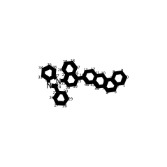 C1=Cc2ccc3c(c2CC1)CC1CCC(C2=c4ccccc4=C(n4c(-c5ccccc5)nc5ccccc54)CC2)=CC1=C3